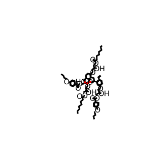 C=Cc1ccc(OCC(O)COC(=O)c2ccc(OCCCC)cc2)cc1/C(=C/OCC(O)COC(=O)c1ccc(OCCCC)cc1)CC1=C(OCC(O)COC(=O)CCCCCCC)C=CC2C=CC(OCC(O)COC(=O)CCCCCCC)=CC12